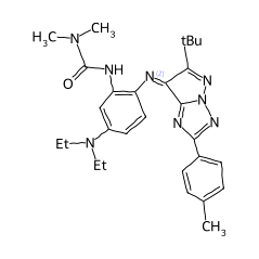 CCN(CC)c1ccc(/N=C2/C(C(C)(C)C)=Nn3nc(-c4ccc(C)cc4)nc32)c(NC(=O)N(C)C)c1